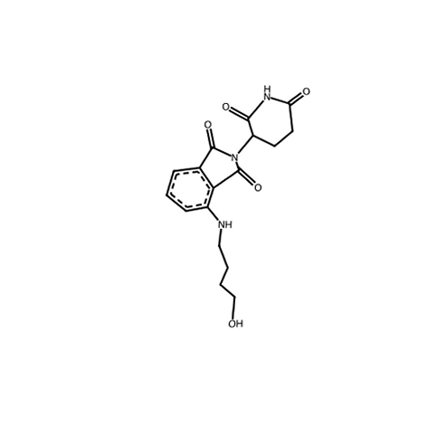 O=C1CCC(N2C(=O)c3cccc(NCCCCO)c3C2=O)C(=O)N1